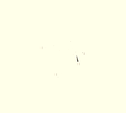 C=CC[C@@H]1C(OC(=O)O)C2CCN1CC2